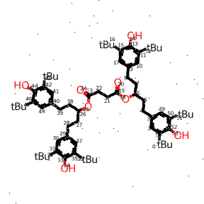 CC(C)(C)c1cc(CCC(CCc2cc(C(C)(C)C)c(O)c(C(C)(C)C)c2)OC(=O)CCC(=O)OC(CCc2cc(C(C)(C)C)c(O)c(C(C)(C)C)c2)CCc2cc(C(C)(C)C)c(O)c(C(C)(C)C)c2)cc(C(C)(C)C)c1O